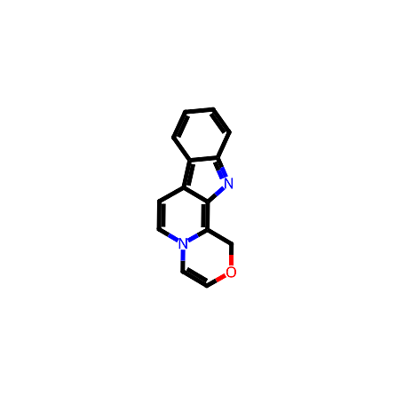 C1=Cn2ccc3c4ccccc4nc-3c2CO1